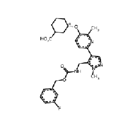 Cc1nc(-c2cnn(C)c2CNC(=O)OCc2cccc(F)c2)ccc1O[C@H]1CCCC(C(=O)O)C1